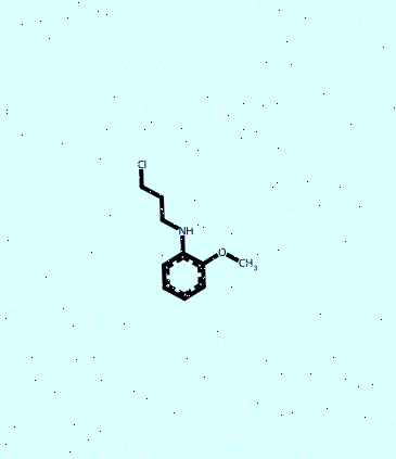 COc1ccccc1NCCCCl